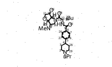 CCCN1CCC(c2ccc(C(=O)N[C@H](C(=O)N3C[C@H](NC)[C@H]4OCC(=O)[C@H]43)[C@@H](C)CC)cc2)CC1